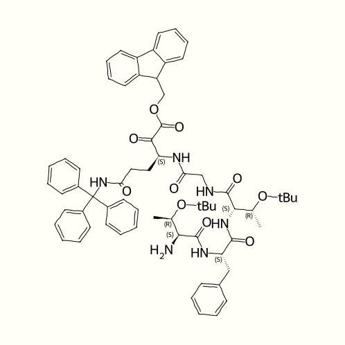 C[C@@H](OC(C)(C)C)[C@H](N)C(=O)N[C@@H](Cc1ccccc1)C(=O)N[C@H](C(=O)NCC(=O)N[C@@H](CCC(=O)NC(c1ccccc1)(c1ccccc1)c1ccccc1)C(=O)C(=O)OCC1c2ccccc2-c2ccccc21)[C@@H](C)OC(C)(C)C